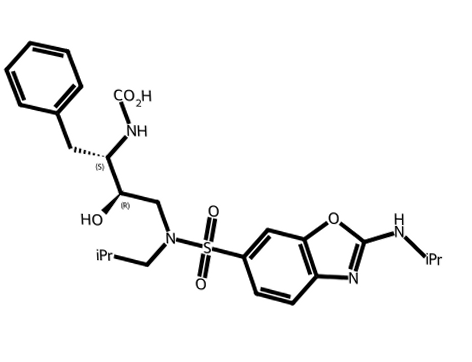 CC(C)CN(C[C@@H](O)[C@H](Cc1ccccc1)NC(=O)O)S(=O)(=O)c1ccc2nc(NC(C)C)oc2c1